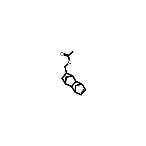 CC(=O)OCC1CC2CC1C1C3C=CC(C3)C21